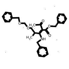 CC(=O)C(C(=O)OCc1ccccc1)=C(NCc1ccccc1)C(C)COCOCc1ccccc1